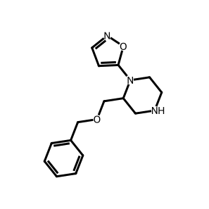 c1ccc(COCC2CNCCN2c2ccno2)cc1